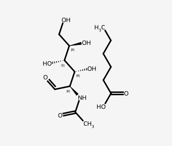 CC(=O)N[C@@H](C=O)[C@@H](O)[C@H](O)[C@H](O)CO.CCCCCC(=O)O